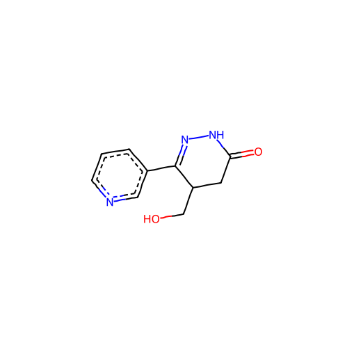 O=C1CC(CO)C(c2cccnc2)=NN1